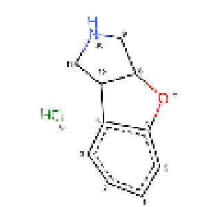 Cl.c1ccc2c(c1)OC1CNCC21